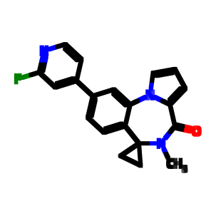 CN1C(=O)c2cccn2-c2cc(-c3ccnc(F)c3)ccc2C12CC2